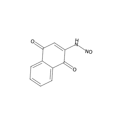 O=NNC1=CC(=O)c2ccccc2C1=O